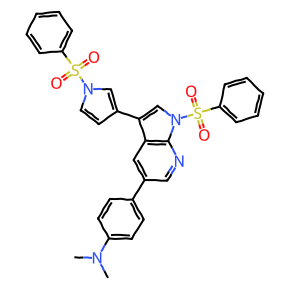 CN(C)c1ccc(-c2cnc3c(c2)c(-c2ccn(S(=O)(=O)c4ccccc4)c2)cn3S(=O)(=O)c2ccccc2)cc1